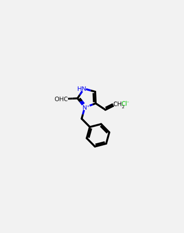 C=Cc1c[nH]c(C=O)[n+]1Cc1ccccc1.[Cl-]